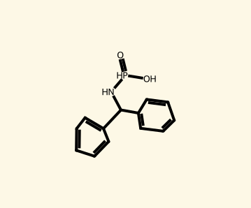 O=[PH](O)NC(c1ccccc1)c1ccccc1